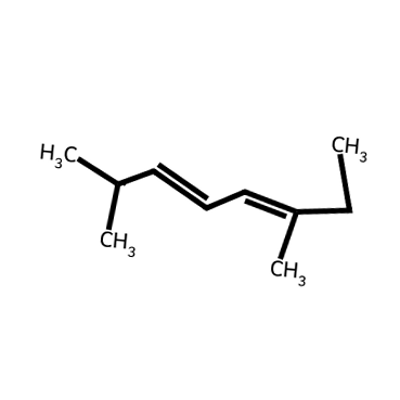 CCC(C)=CC=C[C](C)C